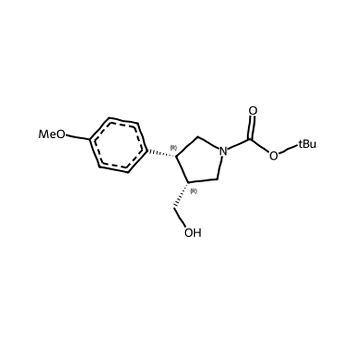 COc1ccc([C@@H]2CN(C(=O)OC(C)(C)C)C[C@@H]2CO)cc1